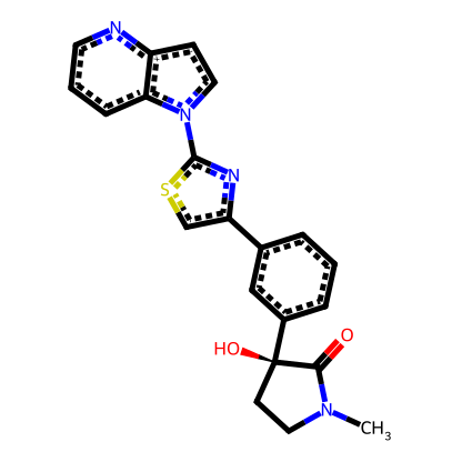 CN1CC[C@](O)(c2cccc(-c3csc(-n4ccc5ncccc54)n3)c2)C1=O